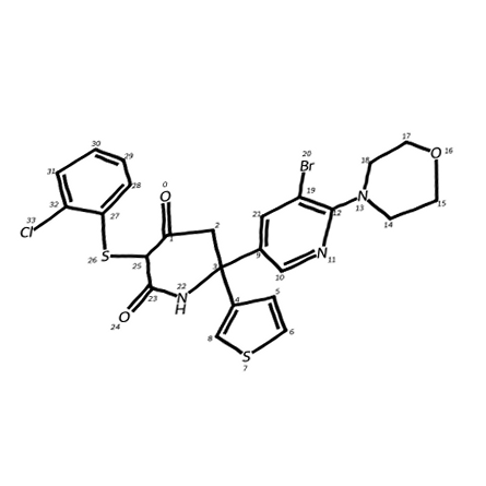 O=C1CC(c2ccsc2)(c2cnc(N3CCOCC3)c(Br)c2)NC(=O)C1Sc1ccccc1Cl